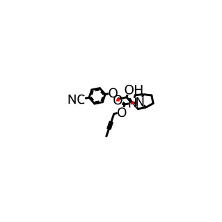 CC#CCOC(=O)N1CC2CCC(C1)N2CC(O)COc1ccc(C#N)cc1